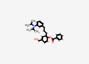 CC(C)N(c1cccc(CCCc2cc(CO)ccc2OC(=O)c2ccccc2)c1)C(C)C